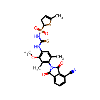 COc1c(NC(=S)NS(=O)(=O)C2CC=C(C)S2)cc(C)c(N2C(=O)c3cccc(C#N)c3C2=O)c1C